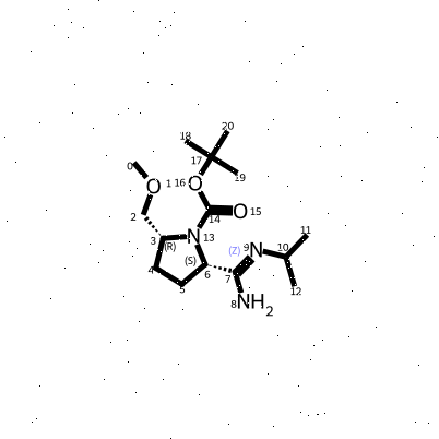 COC[C@H]1CC[C@@H](/C(N)=N/C(C)C)N1C(=O)OC(C)(C)C